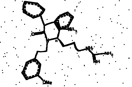 COc1cccc(CCN(C(=O)C(c2ccccc2)c2ccccc2)[C@H](CCCNC(=N)N)C(N)=O)c1